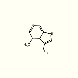 CC1=CNC2=CN=CC(C)C12